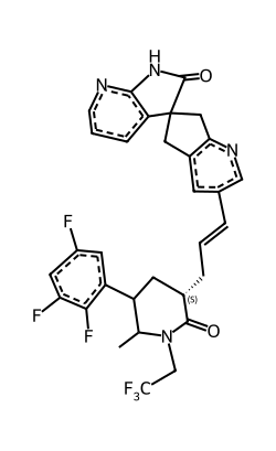 CC1C(c2cc(F)cc(F)c2F)C[C@H](CC=Cc2cnc3c(c2)CC2(C3)C(=O)Nc3ncccc32)C(=O)N1CC(F)(F)F